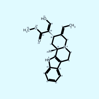 C/C=C1\CN2CCc3c([nH]c4ccccc34)[C@@H]2C[C@@H]1/C(=C/O)C(=O)OC